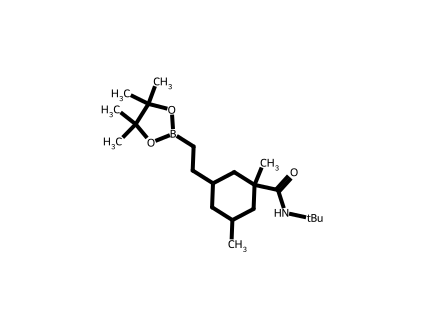 CC1CC(CCB2OC(C)(C)C(C)(C)O2)CC(C)(C(=O)NC(C)(C)C)C1